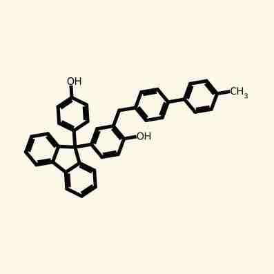 Cc1ccc(-c2ccc(Cc3cc(C4(c5ccc(O)cc5)c5ccccc5-c5ccccc54)ccc3O)cc2)cc1